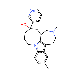 Cc1ccc2c(c1)c1c3n2CCCC(O)(c2cccnc2)CC3CN(C)CC1